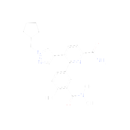 Cc1ccc(-c2nc(C(N)=O)ccc2-c2cnn(CC3CCCC3)c2)cc1C(=O)N(C)C